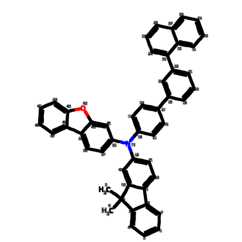 CC1(C)c2ccccc2-c2ccc(N(c3ccc(-c4cccc(-c5cccc6ccccc56)c4)cc3)c3ccc4c(c3)oc3ccccc34)cc21